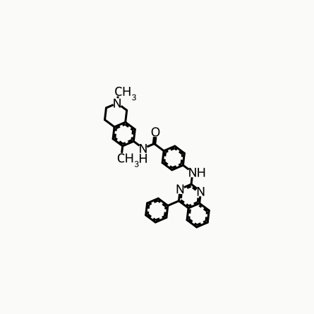 Cc1cc2c(cc1NC(=O)c1ccc(Nc3nc(-c4ccccc4)c4ccccc4n3)cc1)CN(C)CC2